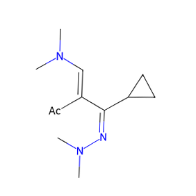 CC(=O)C(=CN(C)C)C(=NN(C)C)C1CC1